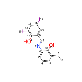 CCc1cccc(N=Cc2cc(I)cc(I)c2O)c1O